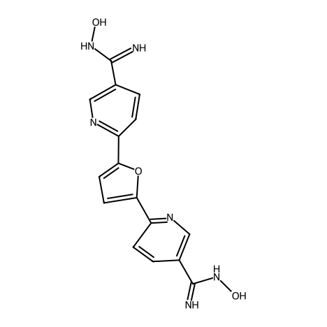 N=C(NO)c1ccc(-c2ccc(-c3ccc(C(=N)NO)cn3)o2)nc1